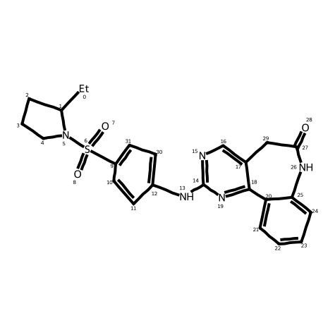 CCC1CCCN1S(=O)(=O)c1ccc(Nc2ncc3c(n2)-c2ccccc2NC(=O)C3)cc1